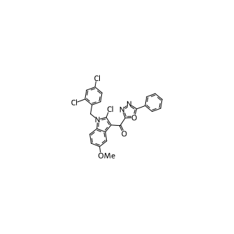 COc1ccc2c(c1)c(C(=O)c1nnc(-c3ccccc3)o1)c(Cl)n2Cc1ccc(Cl)cc1Cl